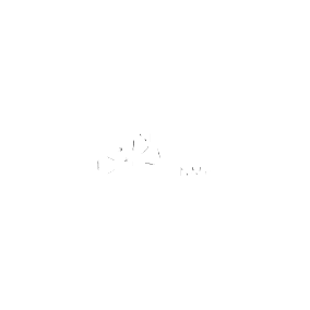 CNCCc1ccc2c(S(=O)(=O)c3ccccc3)c[nH]c2c1